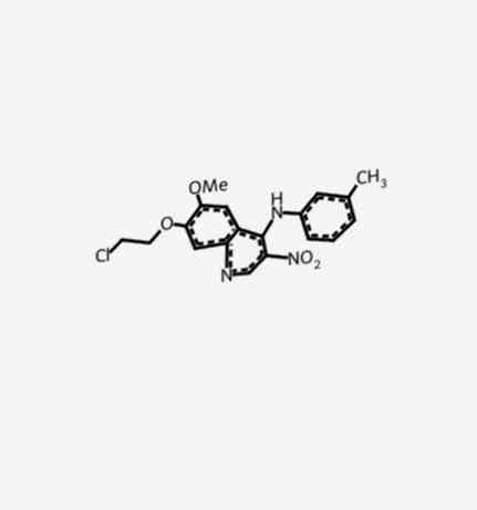 COc1cc2c(Nc3cccc(C)c3)c([N+](=O)[O-])cnc2cc1OCCCl